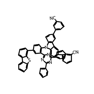 N#Cc1cccc(-c2ccc3c(c2)c2cc(-c4cccc(C#N)c4)ccc2n3-c2ccc(-c3cccc4c3sc3ccccc34)cc2-c2nc(-c3ccccc3)nc(-c3ccccc3)n2)c1